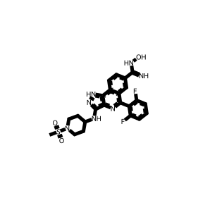 CS(=O)(=O)N1CCC(Nc2n[nH]c3c2nc(-c2c(F)cccc2F)c2cc(C(=N)NO)ccc23)CC1